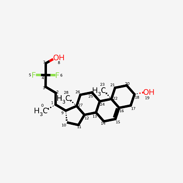 C[C@H](CCC(F)(F)CO)[C@H]1CCC2C3CC=C4C[C@@H](O)CC[C@]4(C)C3CC[C@@]21C